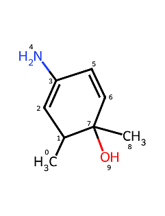 CC1C=C(N)C=CC1(C)O